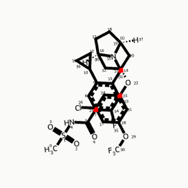 CS(=O)(=O)NC(=O)c1cc(C2CC2)c(CN2[C@@H]3CC[C@H]2C[C@H](Oc2cc(Cl)cc(OC(F)(F)F)c2)C3)cc1F